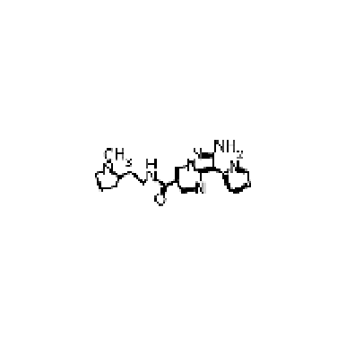 CN1CCCC1CCNC(=O)c1cnc2c(-c3ccccn3)c(N)nn2c1